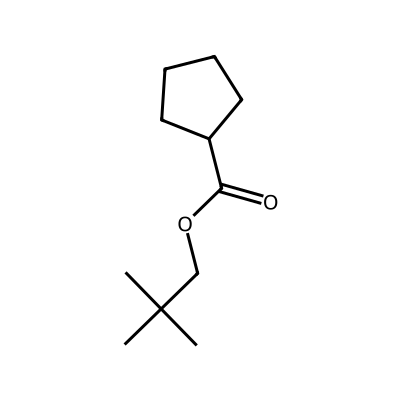 CC(C)(C)COC(=O)C1CCCC1